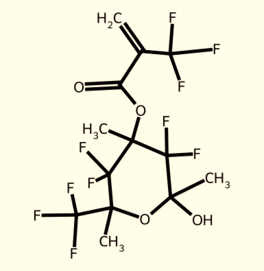 C=C(C(=O)OC1(C)C(F)(F)C(C)(O)OC(C)(C(F)(F)F)C1(F)F)C(F)(F)F